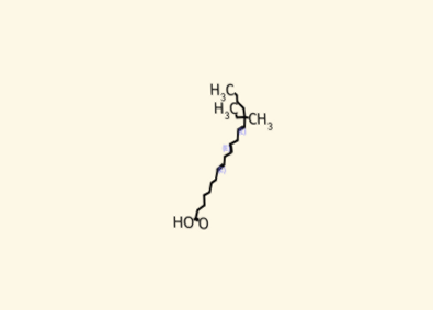 CCCCC(C)(/C=C/C/C=C/C/C=C/CCCCCCC(=O)O)CC